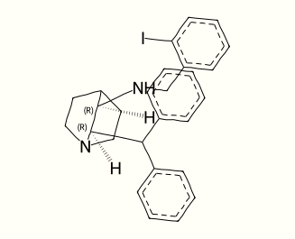 Ic1ccccc1CN[C@@H]1C2CCN(CC2)[C@@H]1C(c1ccccc1)c1ccccc1